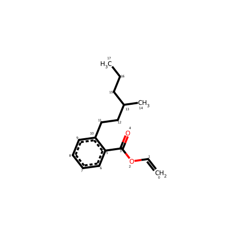 C=COC(=O)c1ccccc1CCC(C)CCC